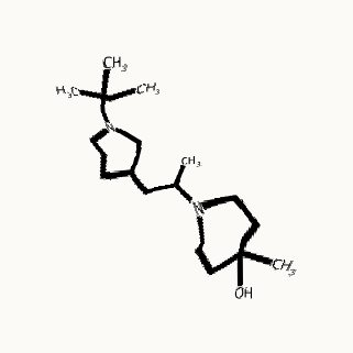 CC(CC1CCN(C(C)(C)C)C1)N1CCC(C)(O)CC1